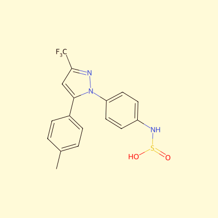 Cc1ccc(-c2cc(C(F)(F)F)nn2-c2ccc(NS(=O)O)cc2)cc1